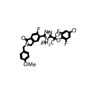 COc1ccc(CN2Cc3cc(-c4nnc(C(C)(C)Oc5c(F)cc(Cl)cc5F)n4C(C)C)c(F)cc3C2=O)cc1